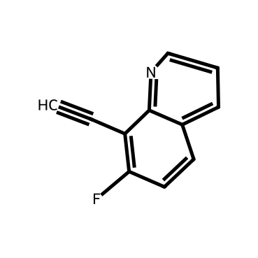 C#Cc1c(F)ccc2cccnc12